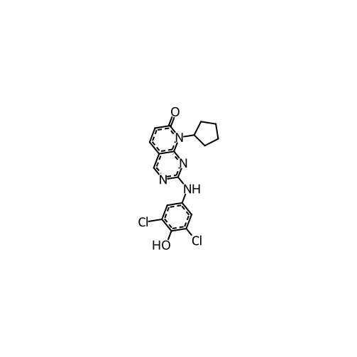 O=c1ccc2cnc(Nc3cc(Cl)c(O)c(Cl)c3)nc2n1C1CCCC1